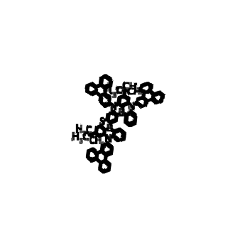 CC(C)(C)c1cc2c3c(c1)N(c1ccc4c5ccccc5c5ccccc5c4c1)c1ccccc1B3c1cc3c(cc1S2)N(c1ccc2c4ccccc4c4ccccc4c2c1)c1cc(C(C)(C)C)cc2c1B3c1ccccc1N2c1ccc2c3ccccc3c3ccccc3c2c1